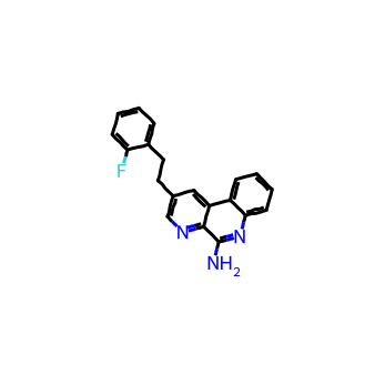 Nc1nc2ccccc2c2cc(CCc3ccccc3F)cnc12